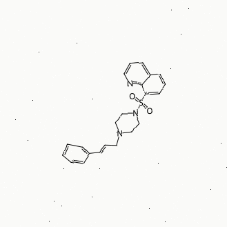 O=S(=O)(c1cccc2cccnc12)N1CCN(CC=Cc2ccccc2)CC1